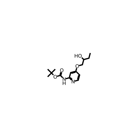 CCC(O)COc1ccnc(NC(=O)OC(C)(C)C)c1